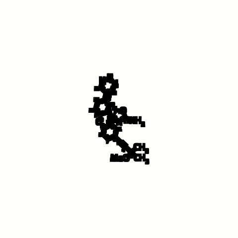 COC(C)(C)C#Cc1ccc2c(c1)[C@@]1(COC(N)=N1)c1cc(-c3cncnc3)ccc1O2